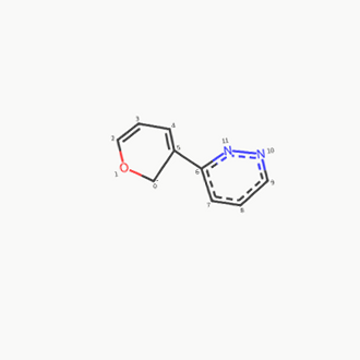 [CH]1OC=CC=C1c1cccnn1